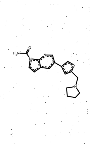 NC(=O)n1c[c]c2cc(-c3csc(CN4CCCC4)c3)cnc21